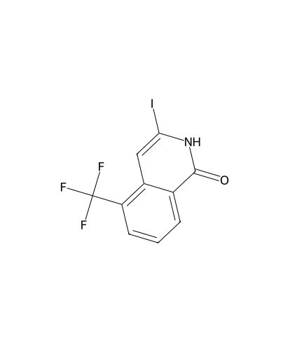 O=c1[nH]c(I)cc2c(C(F)(F)F)cccc12